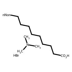 Br.CCCCCCCCCCCCCCCCCC(=O)O.CN(C)C